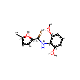 COc1cccc(OC)c1NC(=S)c1ccc(C)o1